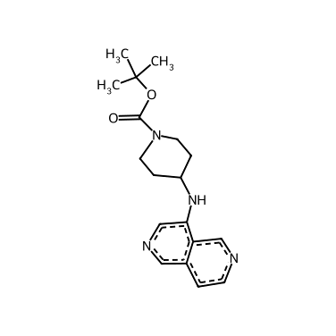 CC(C)(C)OC(=O)N1CCC(Nc2cncc3ccncc23)CC1